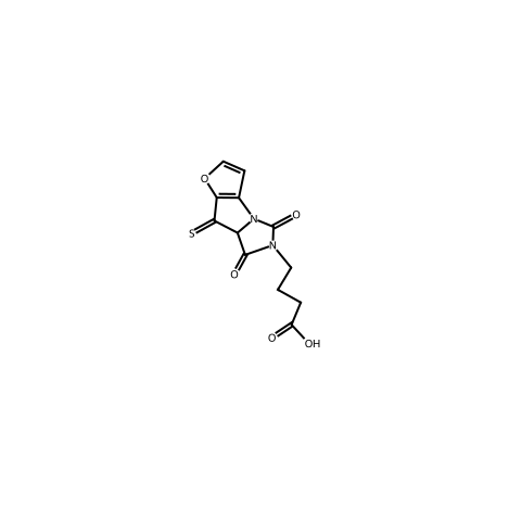 O=C(O)CCCN1C(=O)C2C(=S)c3occc3N2C1=O